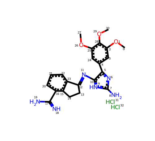 COc1cc(-c2nc(N)[nH]c2N=C2CCc3c(C(=N)N)cccc32)cc(OC)c1OC.Cl.Cl